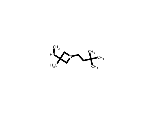 CNC1(C)CN(CCC(C)(C)C)C1